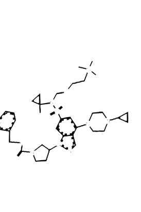 C[C@@H]1CN(c2cc(S(=O)(=O)N(COCC[Si](C)(C)C)C3(C)CC3)cc3c2cnn3C2CCN(C(=O)OCc3ccccc3)C2)C[C@H](C)N1C1CC1